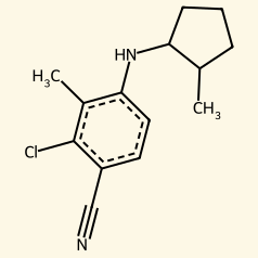 Cc1c(NC2CCCC2C)ccc(C#N)c1Cl